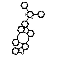 c1ccc(-c2cc(-c3ccccc3)nc(-c3cccc(-c4cccc5c4-c4ccccc4Cc4ccccc4-c4c(ccc6oc7ccccc7c46)C5)c3)n2)cc1